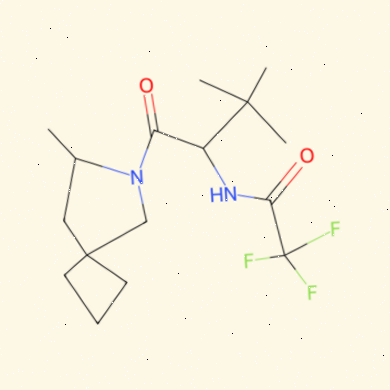 CC1CC2(CCC2)CN1C(=O)C(NC(=O)C(F)(F)F)C(C)(C)C